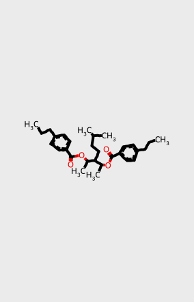 CCCc1ccc(C(=O)OC(C)C(CCC(C)C)C(C)OC(=O)c2ccc(CCC)cc2)cc1